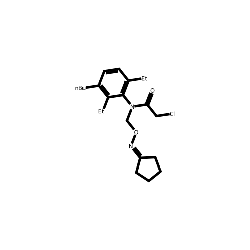 CCCCc1ccc(CC)c(N(CON=C2CCCC2)C(=O)CCl)c1CC